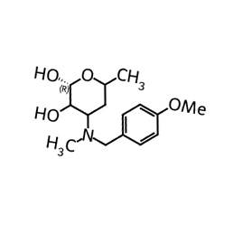 COc1ccc(CN(C)C2CC(C)O[C@@H](O)C2O)cc1